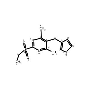 CCS(=O)(=O)c1nc(C)c(Cc2cc[nH]c2)c(C)n1